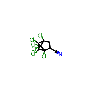 N#CC1CC2(Cl)C(Cl)=C(Cl)C1(Cl)C2(Cl)Cl